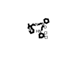 Cc1cn2ccccc2c1CCNCCN(C(=O)CCNc1cccc(Cl)c1Cl)C1CCCCC1